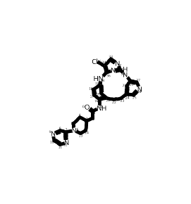 O=C(CC1CCN(c2cnccn2)CC1)Nc1ccc2cc1CCc1cncc(c1)Nc1ncc(Cl)c(n1)N2